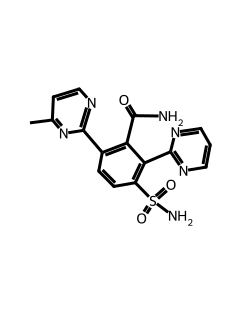 Cc1ccnc(-c2ccc(S(N)(=O)=O)c(-c3ncccn3)c2C(N)=O)n1